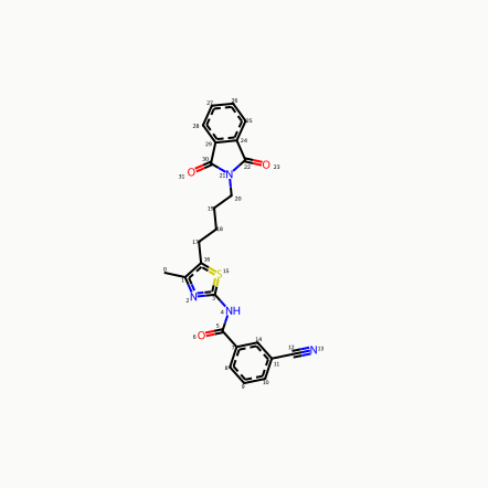 Cc1nc(NC(=O)c2cccc(C#N)c2)sc1CCCCN1C(=O)c2ccccc2C1=O